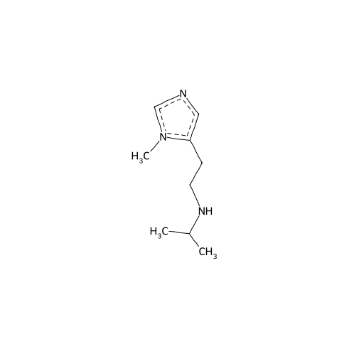 CC(C)NCCc1cncn1C